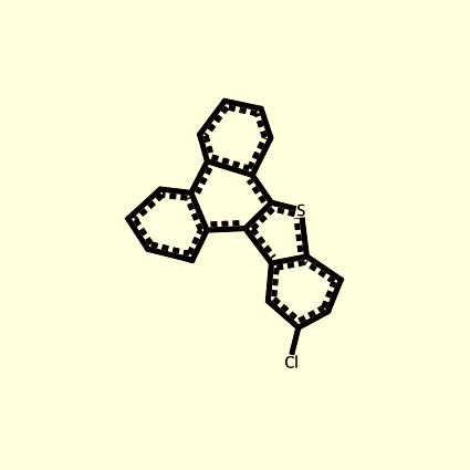 Clc1ccc2sc3c4ccccc4c4ccccc4c3c2c1